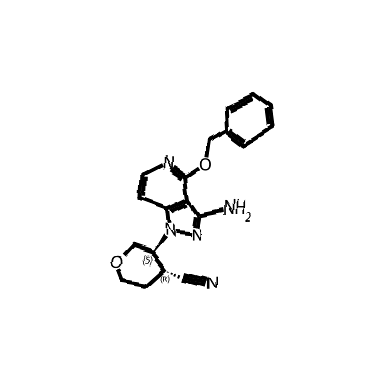 N#C[C@@H]1CCOC[C@H]1n1nc(N)c2c(OCc3ccccc3)nccc21